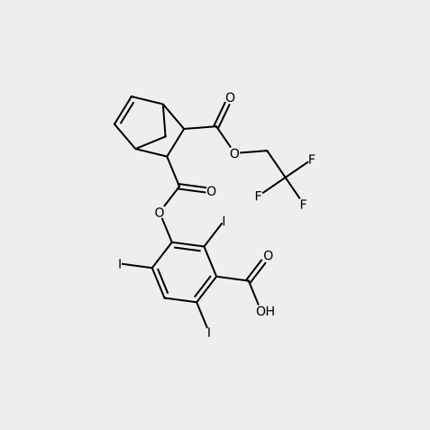 O=C(O)c1c(I)cc(I)c(OC(=O)C2C3C=CC(C3)C2C(=O)OCC(F)(F)F)c1I